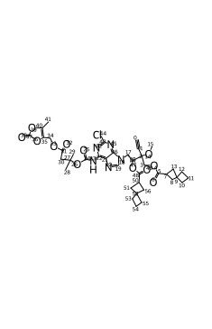 C#CC(COC(=O)C1CC2(CCC2)C1)(OC)[C@H](Cn1cnc2c(NC(=O)OC(C)(C)CC(=O)OCc3oc(=O)oc3C)nc(Cl)nc21)OC(=O)C1CC2(CCC2)C1